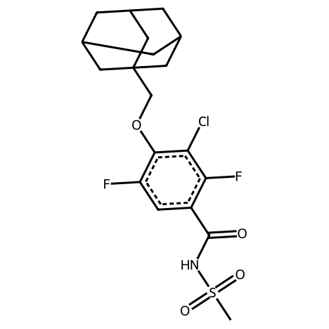 CS(=O)(=O)NC(=O)c1cc(F)c(OCC23CC4CC(CC(C4)C2)C3)c(Cl)c1F